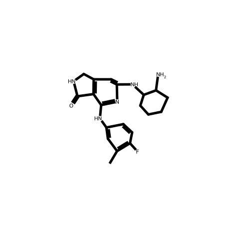 Cc1cc(Nc2nc(NC3CCCCC3N)cc3c2C(=O)NC3)ccc1F